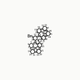 Clc1c(N2c3ccccc3C(c3ccccc3)(c3ccccc3)c3ccccc32)cc(Br)cc1N1c2ccccc2C(c2ccccc2)(c2ccccc2)c2ccccc21